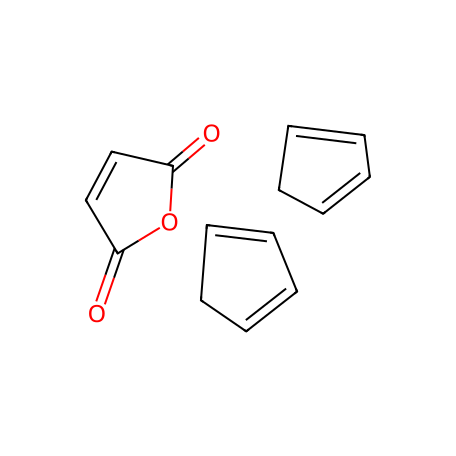 C1=CCC=C1.C1=CCC=C1.O=C1C=CC(=O)O1